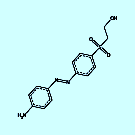 Nc1ccc(/N=N/c2ccc(S(=O)(=O)CCO)cc2)cc1